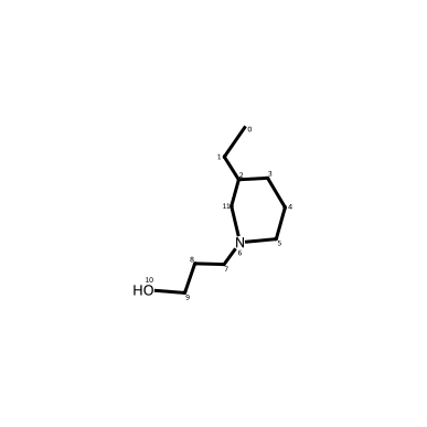 CCC1CCCN(CCCO)C1